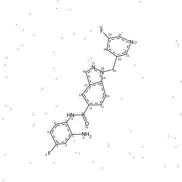 Nc1cc(F)ccc1NC(=O)c1ccc2c(cnn2Cc2cncc(F)c2)c1